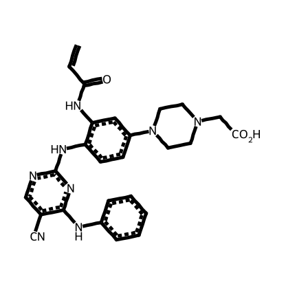 C=CC(=O)Nc1cc(N2CCN(CC(=O)O)CC2)ccc1Nc1ncc(C#N)c(Nc2ccccc2)n1